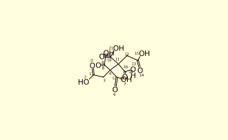 O=C(O)CC(C(=O)O)(C(=O)O)C(CC(=O)O)(C(=O)O)C(=O)O